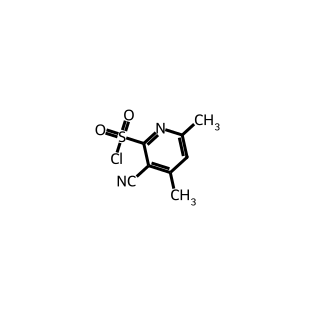 Cc1cc(C)c(C#N)c(S(=O)(=O)Cl)n1